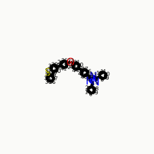 c1ccc(-c2nc(-c3ccccc3)nc(-c3ccc(-c4ccc(Oc5ccc(-c6ccc7sc8ccccc8c7c6)cc5)cc4)cc3)n2)cc1